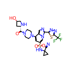 N#CC1(NS(=O)(=O)c2cc(N3CCN(C(=O)[C@@H]4C[C@@H](O)CN4)CC3)c3cnc(-c4nnc(C(F)(F)F)s4)n3c2)CC1